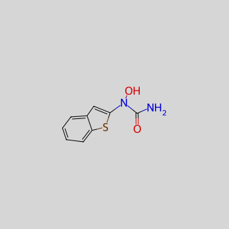 NC(=O)N(O)c1cc2ccccc2s1